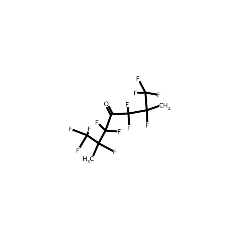 CC(F)(C(F)(F)F)C(F)(F)C(=O)C(F)(F)C(C)(F)C(F)(F)F